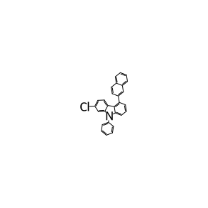 Clc1ccc2c3c(-c4ccc5ccccc5c4)cccc3n(-c3ccccc3)c2c1